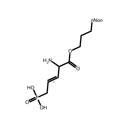 CCCCCCCCCCCCOC(=O)C(N)/C=C/CP(=O)(O)O